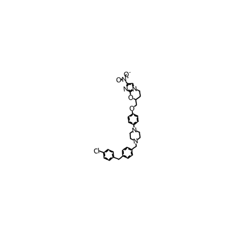 O=[N+]([O-])c1cn2c(n1)OC(COc1ccc(N3CCN(Cc4ccc(Cc5ccc(Cl)cc5)cc4)CC3)cc1)CC2